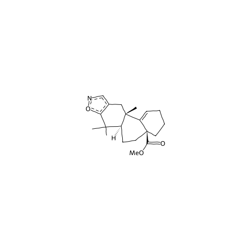 COC(=O)[C@]12CCCC=C1[C@@]1(C)Cc3cnoc3C(C)(C)[C@@H]1CC2